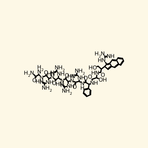 N=C(N)NC1=c2cc3ccccc3cc2=CC1C(CO)C(=O)NC(O)C(=O)NC(C(=O)NC(NC(=N)N)C(=O)NC(NC(=N)N)C(=O)NC(NC(=N)N)C(=O)NC(NC(=N)N)C(=O)NC(N)C(N)=O)c1ccccc1